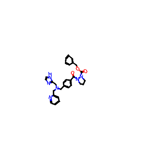 O=C(OCc1ccccc1)N1CCCN1C(=O)c1ccc(CN(Cc2ccccn2)Cc2ncc[nH]2)cc1